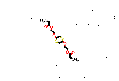 C=CC(=O)OCCOC1CSC(OCCOC(=O)C=C)CS1